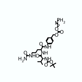 CC(C)[C@H](NC(=O)OC(C)(C)C)C(=O)NC(CCCNC(N)=O)C(=O)Nc1ccc(COC(=O)O/P=N/P)cc1